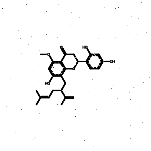 C=C(C)C(CC=C(C)C)Cc1c(O)cc(OC)c2c1OC(c1ccc(O)cc1O)CC2=O